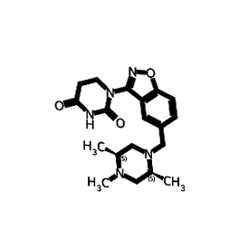 C[C@H]1CN(Cc2ccc3onc(N4CCC(=O)NC4=O)c3c2)[C@@H](C)CN1C